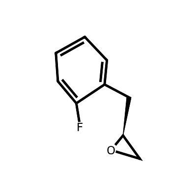 Fc1ccccc1C[C@H]1CO1